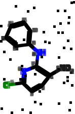 O=[N+]([O-])c1ccc(Cl)nc1Nc1cc[c]cc1